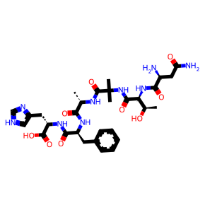 C[C@H](NC(=O)C(C)(C)NC(=O)[C@@H](NC(=O)[C@@H](N)CC(N)=O)[C@@H](C)O)C(=O)N[C@@H](Cc1ccccc1)C(=O)N[C@@H](Cc1c[nH]cn1)C(=O)O